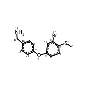 CSc1ccc(Oc2ccc(CN)cc2)cc1Br